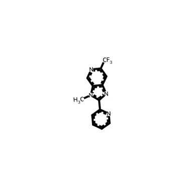 Cn1c(-c2ccccn2)nc2cc(C(F)(F)F)ncc21